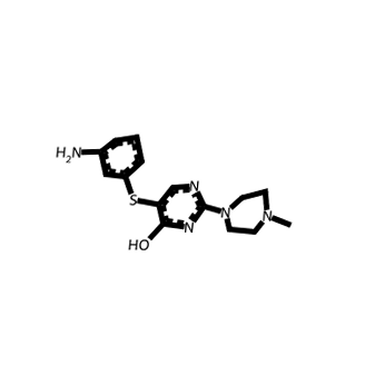 CN1CCN(c2ncc(Sc3cccc(N)c3)c(O)n2)CC1